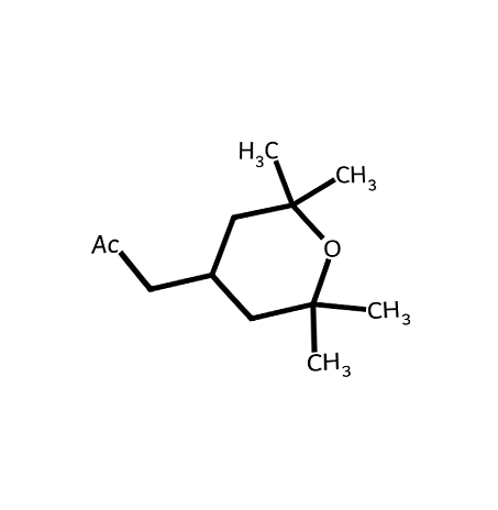 CC(=O)CC1CC(C)(C)OC(C)(C)C1